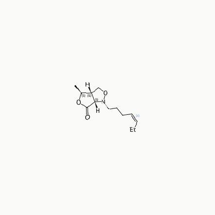 CC/C=C\CCCN1OC[C@H]2[C@H](C)OC(=O)[C@H]21